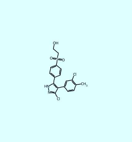 Cc1ccc(-c2c(Cl)n[nH]c2-c2ccc(S(=O)(=O)CCO)cc2)cc1Cl